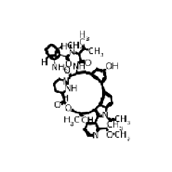 CCn1c(-c2cccnc2[C@H](C)OC)c2c3cc(ccc31)-c1cc(O)cc(c1)C[C@H](NC(=O)C(C(C)C)N(C)C(=O)[C@@H]1[C@H]3CC[C@H](C3)[C@@H]1N)C(=O)N1CCC[C@H](N1)C(=O)OCC(C)(C)C2